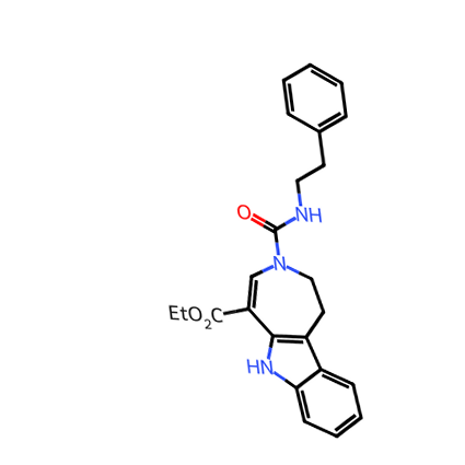 CCOC(=O)C1=CN(C(=O)NCCc2ccccc2)CCc2c1[nH]c1ccccc21